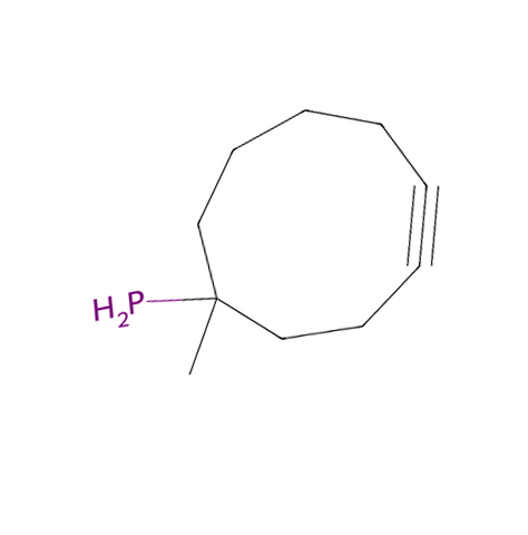 CC1(P)CCC#CCCCC1